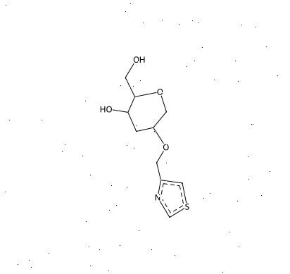 OCC1OCC(OCc2cscn2)CC1O